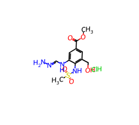 COC(=O)c1cc(CO)c(NS(C)(=O)=O)c(NC=NN)c1.Cl